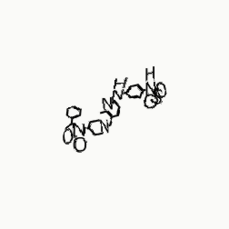 Cc1nc(Nc2ccc(NS(C)(=O)=O)cc2)ccc1CN1CCC(N2C(=O)OCC2c2ccccc2)CC1